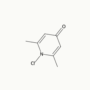 Cc1cc(=O)cc(C)n1Cl